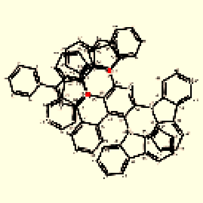 c1ccc(-c2cc(-c3ccccc3)nc(-c3ccccc3-c3c(-n4c5ccccc5c5ccccc54)c(-n4c5ccccc5c5cnccc54)nc(-n4c5ccccc5c5ccccc54)c3-n3c4ccccc4c4cnccc43)n2)cc1